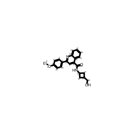 CCOc1ccc(-c2cc(C(=O)NC3CC(CO)C3)c3ccccc3n2)cc1